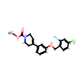 CC(C)(C)OC(=O)N1CC=C(c2cccc(OCc3ccc(Cl)cc3F)c2)CC1